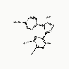 COc1ccc(-n2c(SC)nnc2-c2cc(C(C)C)c(C)cc2C)cc1